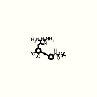 COc1cc(Cc2cnc(N)nc2N)cc(C#Cc2cccc(NC(=O)OC(C)(C)C)c2)c1OC